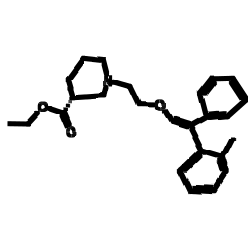 CCOC(=O)[C@@H]1CCCN(CCO/C=C(\c2ccccc2)c2ccccc2C)C1